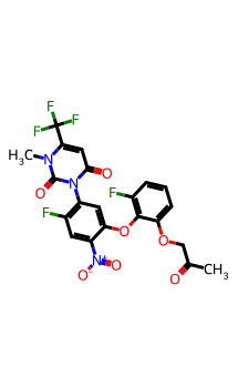 CC(=O)COc1cccc(F)c1Oc1cc(-n2c(=O)cc(C(F)(F)F)n(C)c2=O)c(F)cc1[N+](=O)[O-]